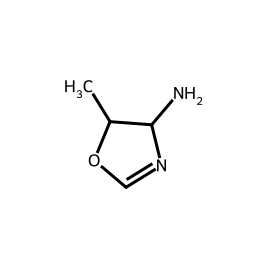 CC1OC=NC1N